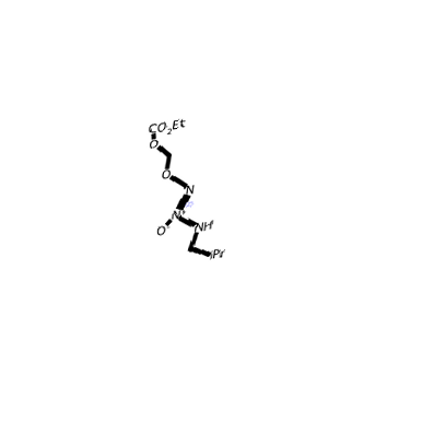 CCOC(=O)OCO/N=[N+](\[O-])NCC(C)C